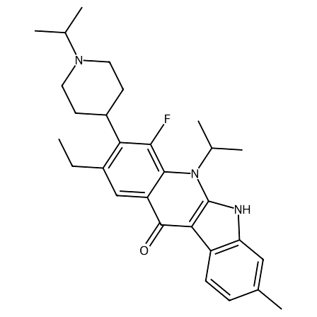 CCc1cc2c(=O)c3c4ccc(C)cc4[nH]c3n(C(C)C)c2c(F)c1C1CCN(C(C)C)CC1